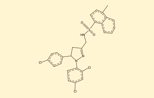 Cc1ccc(S(=O)(=O)NCC2=NN(c3ccc(Cl)cc3Cl)C(c3ccc(Cl)cc3)C2)c2ccccc12